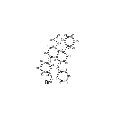 Brc1c2ccccc2c(-c2ccc3c4c(cccc24)C2(CC2)c2ccccc2-3)c2ccccc12